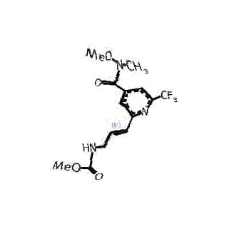 COC(=O)NC/C=C/c1cc(C(=O)N(C)OC)cc(C(F)(F)F)n1